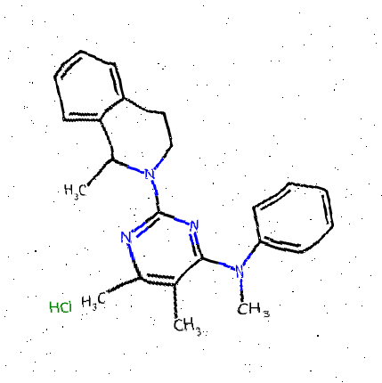 Cc1nc(N2CCc3ccccc3C2C)nc(N(C)c2ccccc2)c1C.Cl